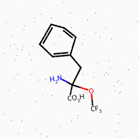 NC(Cc1ccccc1)(OC(F)(F)F)C(=O)O